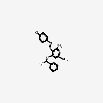 Nc1cc(OC(c2ccccc2)C(F)(F)F)c(N=Nc2ccc(Cl)cc2)c(N)n1